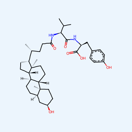 CC(C)[C@H](NC(=O)CC[C@@H](C)[C@H]1CC[C@H]2[C@@H]3CC[C@@H]4C[C@H](O)CC[C@]4(C)[C@H]3CC[C@]12C)C(=O)N[C@@H](Cc1ccc(O)cc1)C(=O)O